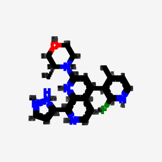 Cc1ccnc(F)c1-c1cc(N2CCOC[C@H]2C)nc2c(-c3ccn[nH]3)nccc12